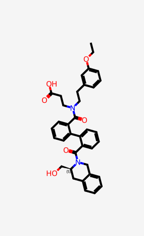 CCOc1cccc(CCN(CCC(=O)O)C(=O)c2ccccc2-c2ccccc2C(=O)N2Cc3ccccc3C[C@H]2CO)c1